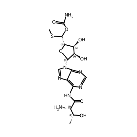 CSC(OC(N)=O)[C@H]1O[C@@H](n2cnc3c(NC(=O)[C@@H](N)[C@@H](C)O)ncnc32)[C@H](O)[C@@H]1O